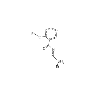 CCOc1ccccc1C(=O)N=N[SiH2]CC